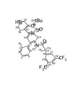 Cc1ccccc1C1=C(N(C)C(=O)C(C)(C)c2cc(C(F)(F)F)cc(C(F)(F)F)c2)CN(C(=O)OC(C)(C)C)C(C2=CCNCC2)=C1